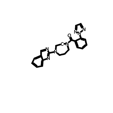 O=C(c1ccccc1-n1nccn1)N1CCCN(c2ncc3ccccc3n2)CC1